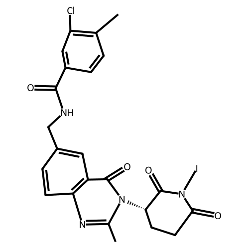 Cc1ccc(C(=O)NCc2ccc3nc(C)n([C@H]4CCC(=O)N(I)C4=O)c(=O)c3c2)cc1Cl